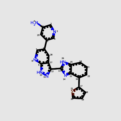 Nc1cncc(-c2cnc3[nH]nc(-c4nc5c(-c6cccs6)cccc5[nH]4)c3c2)c1